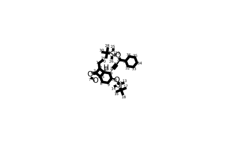 CCC1C(=O)[C@]2(OC)CC[C@H](O[Si](C)(C)C(C)(C)C)[C@@H](C#C[C@@H](O[Si](C)(C)C(C)(C)C)C3CCCCC3)[C@H]12